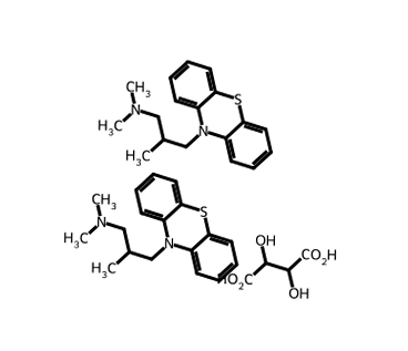 CC(CN(C)C)CN1c2ccccc2Sc2ccccc21.CC(CN(C)C)CN1c2ccccc2Sc2ccccc21.O=C(O)C(O)C(O)C(=O)O